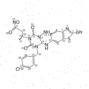 CCCc1nc2ccc(NC3N(N)C(=O)N([C@@H](C)CC(=O)N=O)C(=O)N3Cc3ccc(Cl)cc3)cc2s1